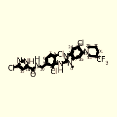 Cn1c(Nc2c(Cl)ccc(CNC(=O)c3cc(Cl)n[nH]3)c2Cl)nc2cc(Cl)c(N3CCCC(C(F)(F)F)C3)cc21